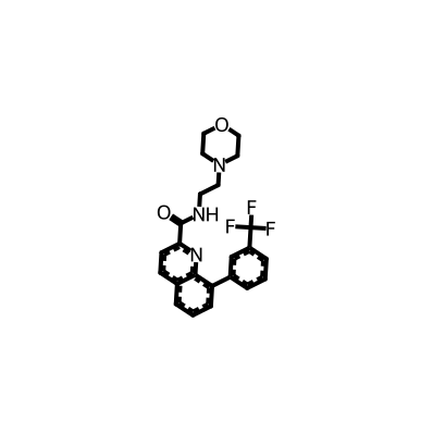 O=C(NCCN1CCOCC1)c1ccc2cccc(-c3cccc(C(F)(F)F)c3)c2n1